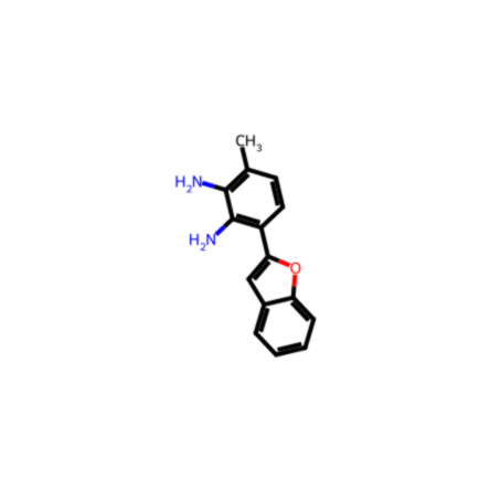 Cc1ccc(-c2cc3ccccc3o2)c(N)c1N